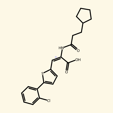 O=C(CCC1CCCC1)N/C(=C/c1ccc(-c2ccccc2Cl)s1)C(=O)O